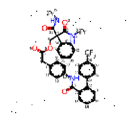 CC(C)NC(=O)C(COC(=O)Cc1ccc(NC(=O)c2ccccc2-c2ccc(C(F)(F)F)cc2)cc1)(C(=O)NC(C)C)c1ccccc1